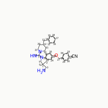 CC(C)(CN)CN(C(=N)N1CCC(Cc2ccccc2)CC1)c1ccc(OCc2ccc(C#N)cc2)cc1